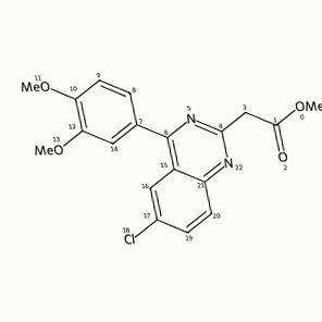 COC(=O)Cc1nc(-c2ccc(OC)c(OC)c2)c2cc(Cl)ccc2n1